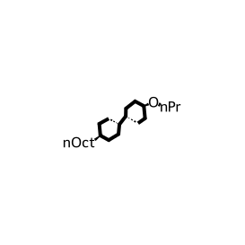 CCCCCCCC[C@H]1CC[C@H]([C@H]2CC[C@H](OCCC)CC2)CC1